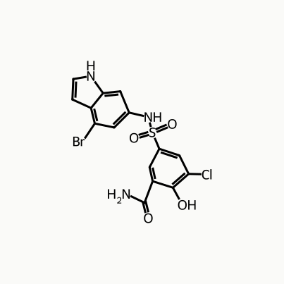 NC(=O)c1cc(S(=O)(=O)Nc2cc(Br)c3cc[nH]c3c2)cc(Cl)c1O